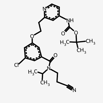 CC(C)N(CCC#N)C(=O)c1cc(Cl)cc(OCCc2cc(NC(=O)OC(C)(C)C)ccn2)c1